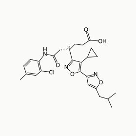 Cc1ccc(NC(=O)C[C@H](CCC(=O)O)c2noc(-c3cc(CC(C)C)on3)c2C2CC2)c(Cl)c1